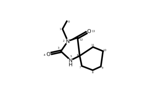 CCN1C(=O)NC2(CCCCC2)C1=O